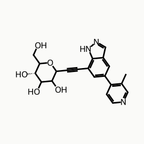 Cc1cnccc1-c1cc(C#CC2OC(CO)[C@@H](O)C(O)C2O)c2[nH]ncc2c1